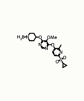 BN1CCC(Oc2ncnc(Oc3ccc(S(=O)(=O)C4CC4)nc3C)c2OC)CC1